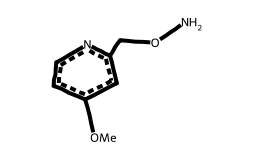 COc1ccnc(CON)c1